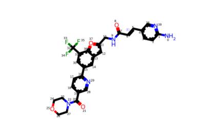 Nc1ccc(/C=C/C(=O)NCc2cc3cc(-c4ccc(C(=O)N5CCOCC5)cn4)cc(C(F)(F)F)c3o2)cn1